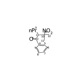 CCCC(C(=O)c1ccccc1)C(C)(C)[N+](=O)[O-]